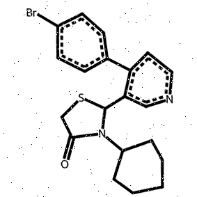 O=C1CSC(c2cnccc2-c2ccc(Br)cc2)N1C1CCCCC1